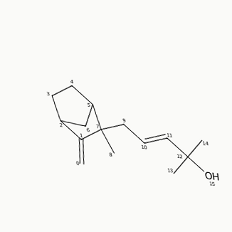 C=C1C2CCC(C2)C1(C)CC=CC(C)(C)O